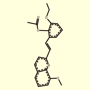 CCOc1cccc(/C=C/c2ccc3cccc(OC)c3n2)c1OC(C)=O